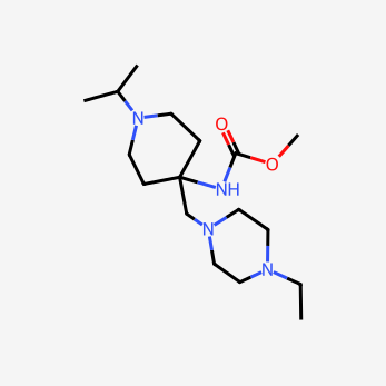 CCN1CCN(CC2(NC(=O)OC)CCN(C(C)C)CC2)CC1